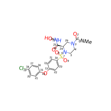 CNC(=O)N1CCN(S(=O)(=O)c2ccc(Oc3ccc(Cl)cc3)cc2)[C@@H](C(=O)NO)C1